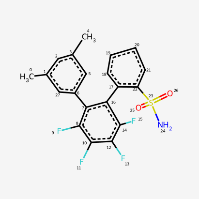 Cc1cc(C)cc(-c2c(F)c(F)c(F)c(F)c2-c2ccccc2S(N)(=O)=O)c1